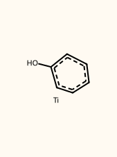 Oc1ccccc1.[Ti]